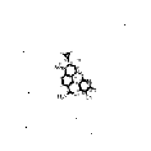 CC(=O)N1c2ccc(C(N)=O)cc2[C@H](Nc2ccc(C#N)c(C)n2)[C@@H](C)[C@@H]1C1CC1